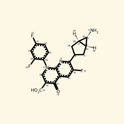 N[C@@H]1[C@H]2CC(c3nc4c(cc3F)c(=O)c(C(=O)O)cn4-c3ccc(F)cc3F)C[C@@H]12